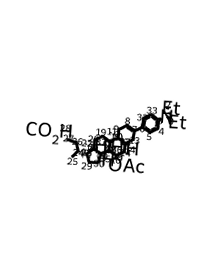 CCN(CC)c1ccc(C2=CC[C@@]3(C)[C@@H](C2)C[C@@H](OC(C)=O)[C@@H]2[C@@H]3CC[C@]3(C)[C@@H](C(C)CCC(=O)O)CC[C@@H]23)cc1